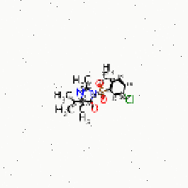 CC1=N[C@@](C)(C(C)C)C(=O)N1S(=O)(=O)c1cc(Cl)ccc1C